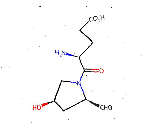 N[C@@H](CCC(=O)O)C(=O)N1C[C@H](O)C[C@@H]1C=O